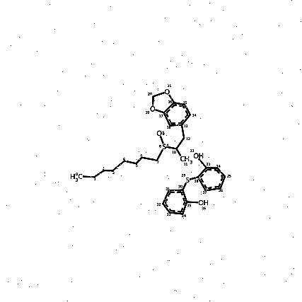 CCCCCCCC[S+]([O-])C(C)Cc1ccc2c(c1)OCO2.Oc1ccccc1Sc1ccccc1O